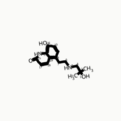 CC(C)(O)CNCCc1ccc(O)c2[nH]c(=O)ccc12